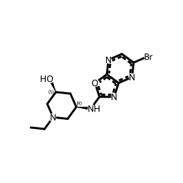 CCN1C[C@@H](O)C[C@@H](Nc2nc3nc(Br)cnc3o2)C1